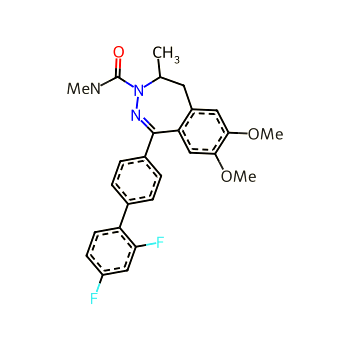 CNC(=O)N1N=C(c2ccc(-c3ccc(F)cc3F)cc2)c2cc(OC)c(OC)cc2CC1C